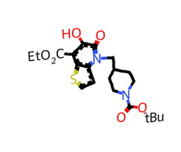 CCOC(=O)c1c(O)c(=O)n(CC2CCN(C(=O)OC(C)(C)C)CC2)c2ccsc12